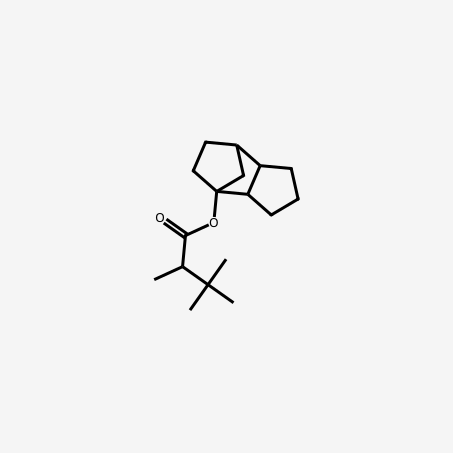 CC(C(=O)OC12CCC(C1)C1CCCC12)C(C)(C)C